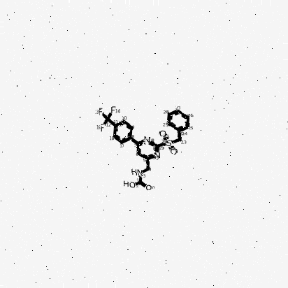 O=C(O)NCc1cc(-c2ccc(C(F)(F)F)cc2)nc(S(=O)(=O)Cc2ccccc2)n1